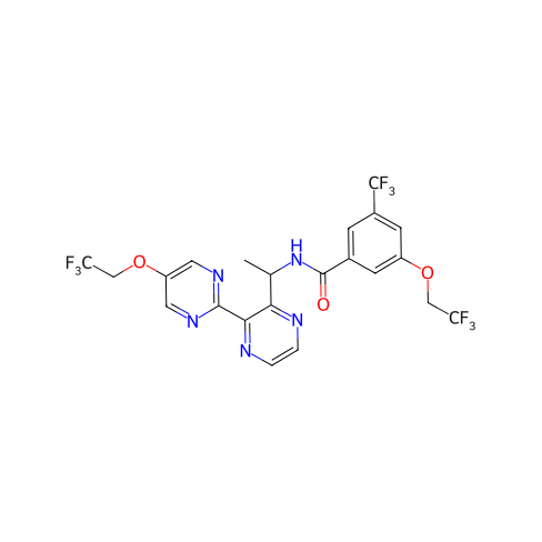 CC(NC(=O)c1cc(OCC(F)(F)F)cc(C(F)(F)F)c1)c1nccnc1-c1ncc(OCC(F)(F)F)cn1